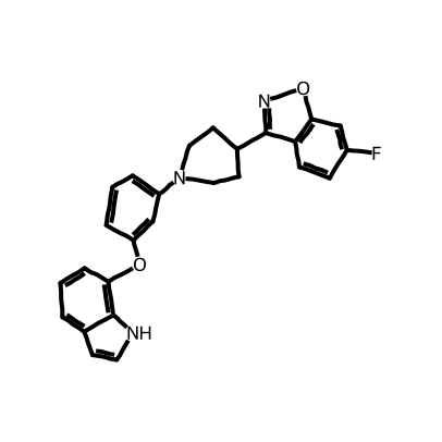 Fc1ccc2c(C3CCN(c4cccc(Oc5cccc6cc[nH]c56)c4)CC3)noc2c1